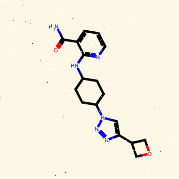 NC(=O)c1cccnc1NC1CCC(n2cc(C3COC3)nn2)CC1